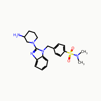 CN(C)S(=O)(=O)c1ccc(Cn2c(N3CCCC(N)C3)nc3ccccc32)cc1